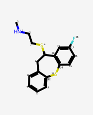 CNCCSC1Cc2ccccc2Sc2ccc(F)cc21